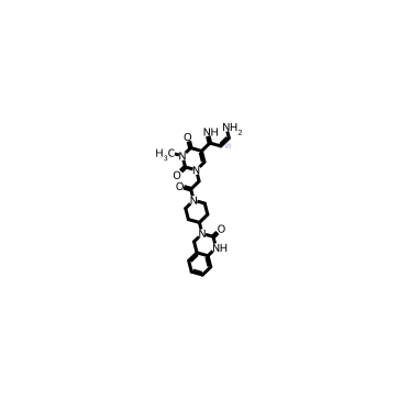 Cn1c(=O)c(C(=N)/C=C\N)cn(CC(=O)N2CCC(N3Cc4ccccc4NC3=O)CC2)c1=O